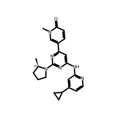 C[C@@H]1CCCN1c1nc(Nc2cc(C3CC3)ccn2)cc(-c2ccc(=O)n(C)c2)n1